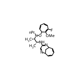 CCCN(OC1C=CC=CC(F)=C1OC)[C@H](C)[C@@H](C)NC1=NC2C=CC=CC(C2)N=C1